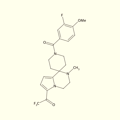 COc1ccc(C(=O)N2CCC3(CC2)c2ccc(C(=O)C(F)(F)F)n2CCN3C)cc1F